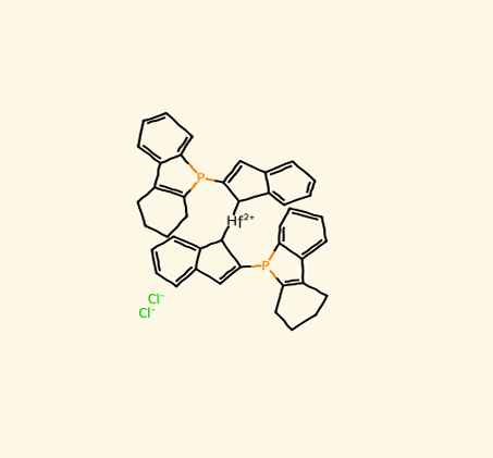 C1=C(p2c3c(c4ccccc42)CCCC3)[CH]([Hf+2][CH]2C(p3c4c(c5ccccc53)CCCC4)=Cc3ccccc32)c2ccccc21.[Cl-].[Cl-]